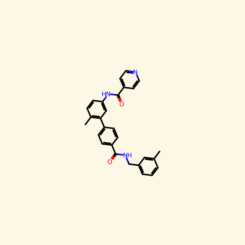 Cc1cccc(CNC(=O)c2ccc(-c3cc(NC(=O)c4ccncc4)ccc3C)cc2)c1